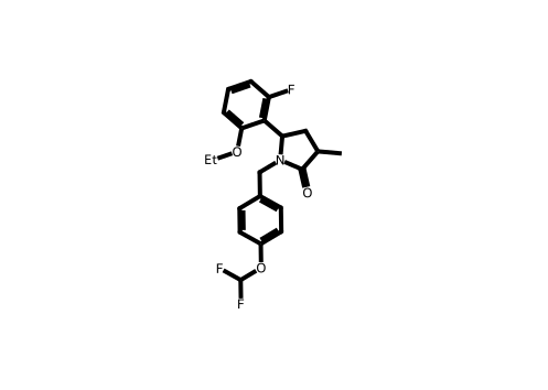 CCOc1cccc(F)c1C1CC(C)C(=O)N1Cc1ccc(OC(F)F)cc1